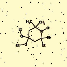 CCOC1(OCC)CC(C)(C)N([O])C(CC)(CC)C1